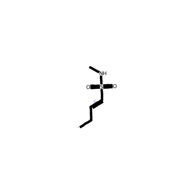 [CH2]C/C=C/S(=O)(=O)NC